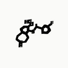 CC(Sc1c(Cl)ccc2c1CCNCC2)c1cccc(F)c1.Cl